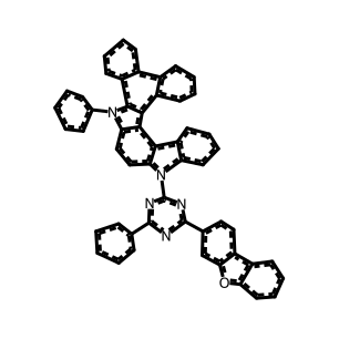 c1ccc(-c2nc(-c3ccc4c(c3)oc3ccccc34)nc(-n3c4ccccc4c4c5c6c7ccccc7c7ccccc7c6n(-c6ccccc6)c5ccc43)n2)cc1